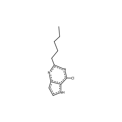 CCCCCc1nc(Cl)c2[nH]ccc2n1